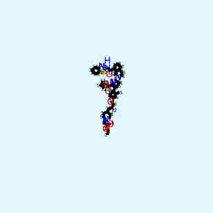 CCOC(=O)CN1CCC(C[C@@H](C)COc2ccc(-c3ccc(N4CCc5cccc(C(=O)Nc6nc7ccccc7s6)c5C4)nc3C(=O)OC(C)(C)C)c(C)c2)CC1